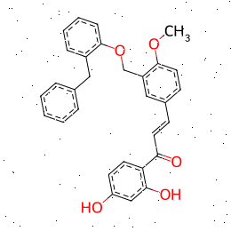 COc1ccc(/C=C/C(=O)c2ccc(O)cc2O)cc1COc1ccccc1Cc1ccccc1